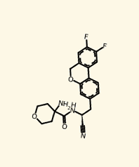 N#C[C@H](Cc1ccc2c(c1)OCc1cc(F)c(F)cc1-2)NC(=O)C1(N)CCOCC1